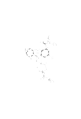 CCN(C(=O)c1cc(F)ccc1Oc1cncnc1NCC1(F)CCN(C(=O)OC(C)(C)C)CC1)C(C)C